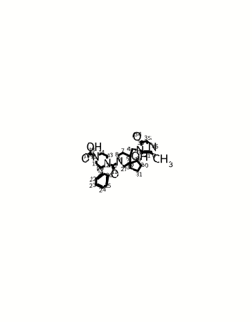 Cc1cn(CC2(O)CCN(C(=O)N3CCN(C(=O)O)C[C@H]3c3ccccc3)CC23CCCC3)c(=O)cn1